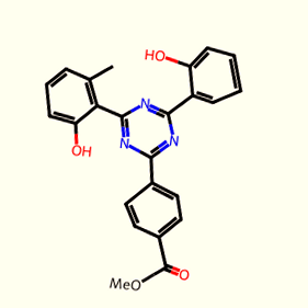 COC(=O)c1ccc(-c2nc(-c3ccccc3O)nc(-c3c(C)cccc3O)n2)cc1